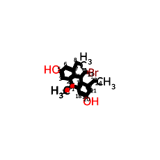 CCc1cc(O)cc(CC)c1C(CBr)c1c(CC)cc(O)cc1CC